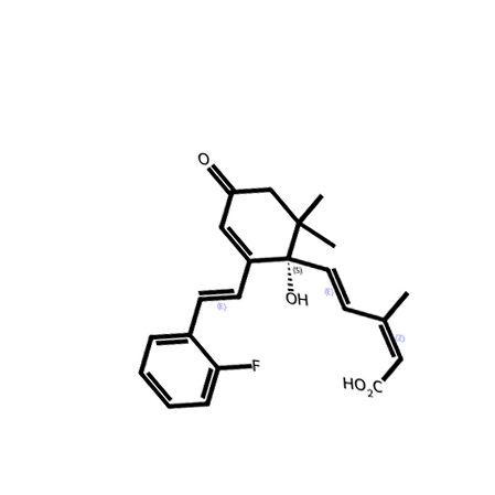 CC(=C/C(=O)O)/C=C/[C@@]1(O)C(/C=C/c2ccccc2F)=CC(=O)CC1(C)C